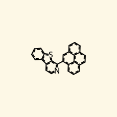 c1cc2ccc3cccc4c(-c5nccc6c5sc5ccccc56)cc(c1)c2c34